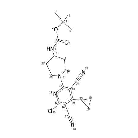 CC(C)(C)OC(=O)NC1CCN(c2nc(Cl)c(C#N)c(C3CC3)c2C#N)CC1